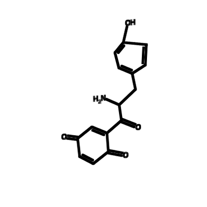 NC(Cc1ccc(O)cc1)C(=O)C1=CC(=O)C=CC1=O